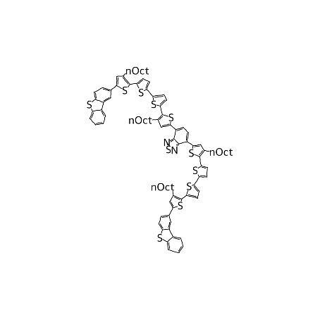 CCCCCCCCc1cc(-c2ccc3sc4ccccc4c3c2)sc1-c1ccc(-c2ccc(-c3sc(-c4ccc(-c5cc(CCCCCCCC)c(-c6ccc(-c7ccc(-c8sc(-c9ccc%10sc%11ccccc%11c%10c9)cc8CCCCCCCC)s7)s6)s5)c5nsnc45)cc3CCCCCCCC)s2)s1